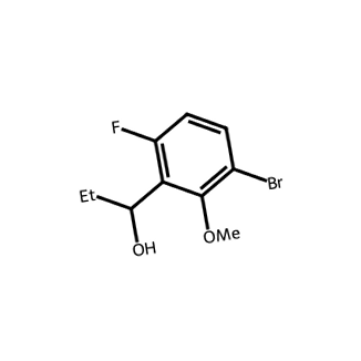 CCC(O)c1c(F)ccc(Br)c1OC